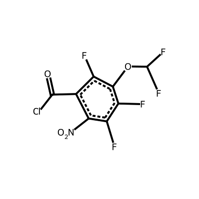 O=C(Cl)c1c(F)c(OC(F)F)c(F)c(F)c1[N+](=O)[O-]